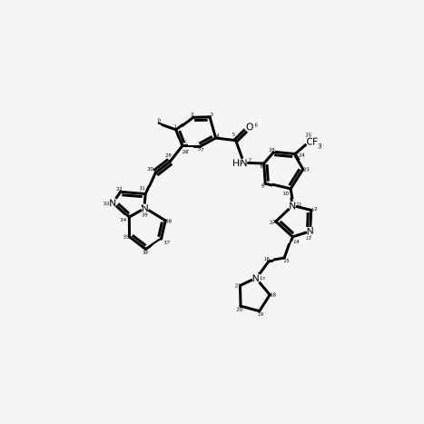 Cc1ccc(C(=O)Nc2cc(-n3cnc(CCN4CCCC4)c3)cc(C(F)(F)F)c2)cc1C#Cc1cnc2ccccn12